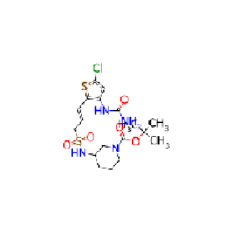 CC(C)(C)OC(=O)N1CCCC(NS(=O)(=O)CC=Cc2sc(Cl)cc2NC(N)=O)C1